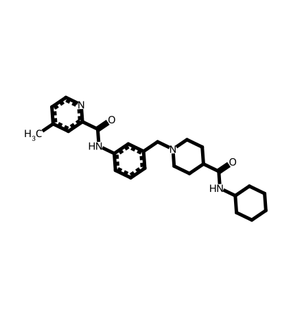 Cc1ccnc(C(=O)Nc2cccc(CN3CCC(C(=O)NC4CCCCC4)CC3)c2)c1